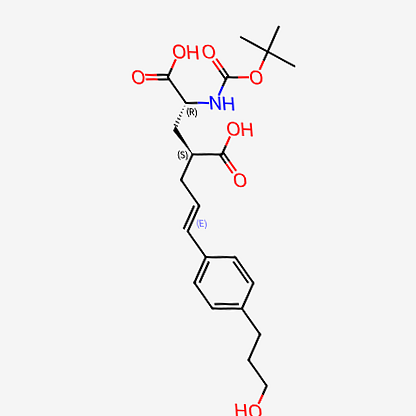 CC(C)(C)OC(=O)N[C@H](C[C@H](C/C=C/c1ccc(CCCO)cc1)C(=O)O)C(=O)O